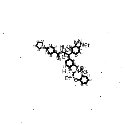 CC[C@@H]1CN(Cc2cc(C(c3ccc4c(nnn4CC)c3C)C(C)(C)NC(=O)c3cnc(N4CCCC4)nc3)ccc2C)S(=O)(=O)c2ccccc2O1